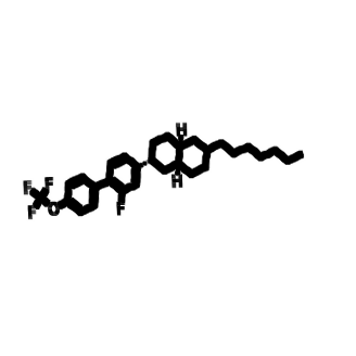 CCCCCCCC1CC[C@@H]2C[C@H](c3ccc(-c4ccc(OC(F)(F)F)cc4)c(F)c3)CC[C@@H]2C1